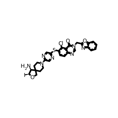 N[C@@H]1[C@H](I)OCC12CCN(c1cnc(Sc3ccc4ncn(Cc5nc6ccccc6o5)c(=O)c4c3Cl)cn1)CC2